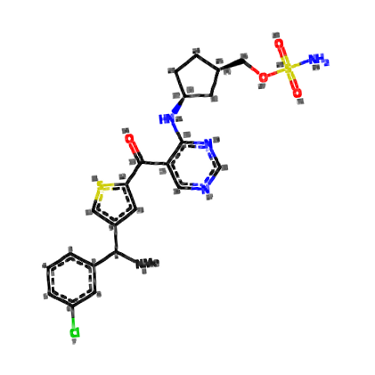 CNC(c1cccc(Cl)c1)c1csc(C(=O)c2cncnc2N[C@H]2CC[C@@H](COS(N)(=O)=O)C2)c1